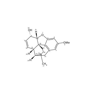 COc1cc2c3c(c1)O[C@H]1[C@@H](O)C=C[C@H]4[C@@H](C2)N(C)CC[C@@]341